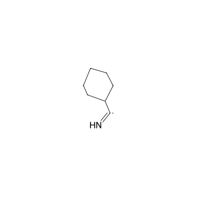 N=[C]C1CCCCC1